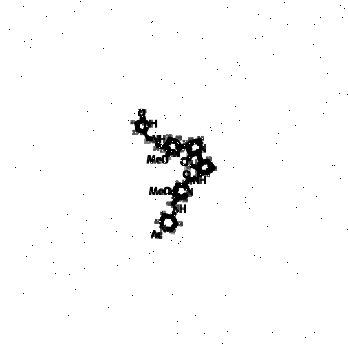 COc1cc(C(=O)Nc2cccc(-c3nccc(-c4ccc(CNC[C@H]5CCC(=O)N5)c(OC)n4)c3Cl)c2C)ncc1CNC1CCN(C(C)=O)CC1